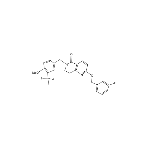 COc1ccc(CN2CCc3nc(OCc4cccc(F)c4)ccc3C2=O)cc1C(C)(F)F